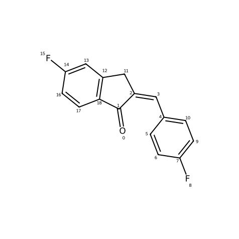 O=C1C(=Cc2ccc(F)cc2)Cc2cc(F)ccc21